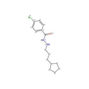 O=C(NNCCCC1CCCC1)c1ccc(Br)cc1